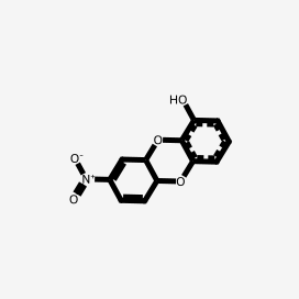 O=[N+]([O-])C1=CC2Oc3c(O)cccc3OC2C=C1